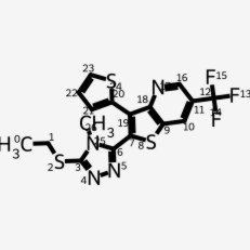 CCSc1nnc(-c2sc3cc(C(F)(F)F)cnc3c2-c2cccs2)n1C